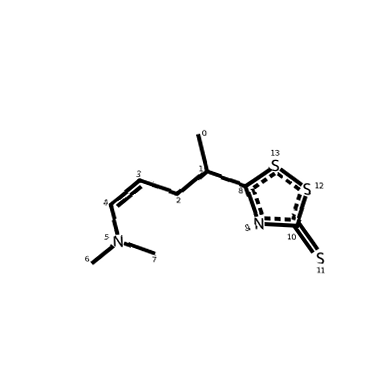 CC(C/C=C\N(C)C)c1nc(=S)ss1